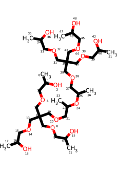 CC(O)COCC(COCC(C)O)(COCC(C)O)COCC(C)OC(C)COCC(COCC(C)O)(COCC(C)O)COCC(C)O